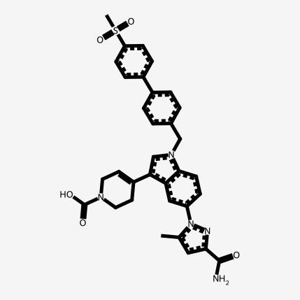 Cc1cc(C(N)=O)nn1-c1ccc2c(c1)c(C1=CCN(C(=O)O)CC1)cn2Cc1ccc(-c2ccc(S(C)(=O)=O)cc2)cc1